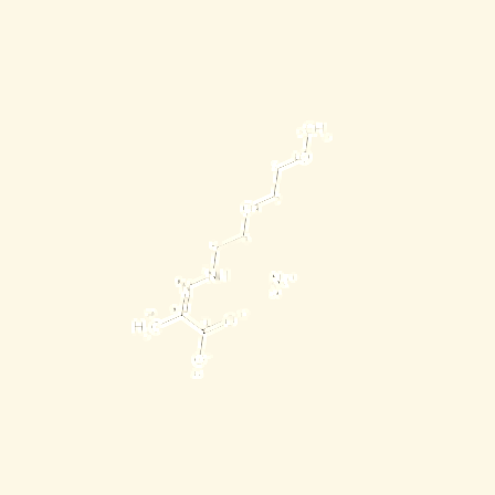 COCCOCCNN=C(C)C(=O)[O-].[Na+]